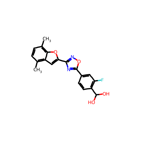 Cc1ccc(C)c2oc(-c3noc(-c4ccc(C(O)O)c(F)c4)n3)cc12